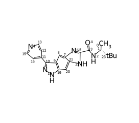 C[C@@H](NC(=O)c1nc2cc3c(-c4ccncc4)n[nH]c3cc2[nH]1)C(C)(C)C